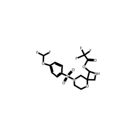 O=C(OC1NCC12CN(S(=O)(=O)c1ccc(OC(F)F)cc1)CCO2)C(F)(F)F